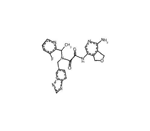 CC(c1ncccc1F)N(Cc1ccc2ncnn2c1)C(=O)C(=O)Nc1cnc(N)c2c1COC2